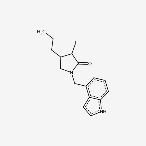 CCCC1CN(Cc2cccc3[nH]ccc23)C(=O)C1I